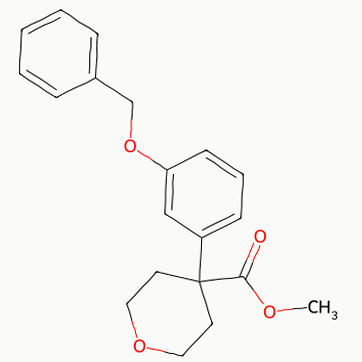 COC(=O)C1(c2cccc(OCc3ccccc3)c2)CCOCC1